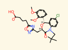 COc1cccc([C@H]2O[C@H](Cc3noc(CCCC(=O)O)n3)C(=O)N(CC(C)(C)C)c3ccc(Cl)cc32)c1OC